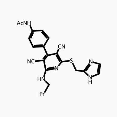 CC(=O)Nc1ccc(-c2c(C#N)c(NCC(C)C)nc(SCc3ncc[nH]3)c2C#N)cc1